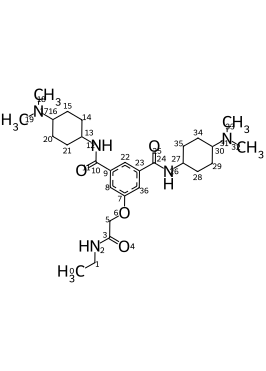 CCNC(=O)COc1cc(C(=O)NC2CCC(N(C)C)CC2)cc(C(=O)NC2CCC(N(C)C)CC2)c1